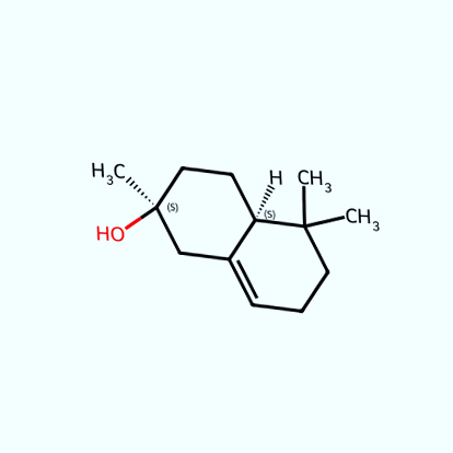 CC1(C)CCC=C2C[C@@](C)(O)CC[C@H]21